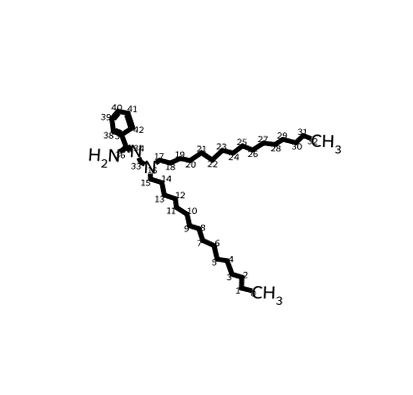 CCCCCCCCCCCCCCCCN(CCCCCCCCCCCCCCCC)CN=C(N)c1ccccc1